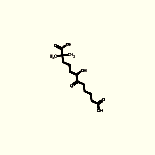 CC(C)(CCCC(O)C(=O)CCCCC(=O)O)C(=O)O